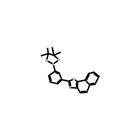 CC1(C)OB(c2cccc(-c3nc4ccc5ccccc5c4o3)c2)OC1(C)C